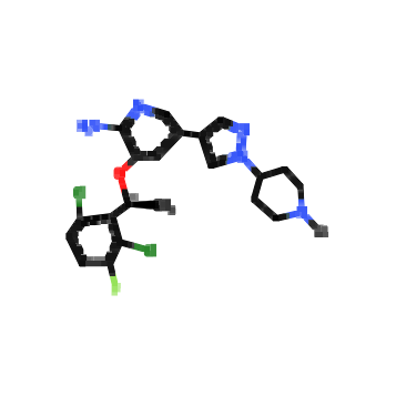 CCN1CCC(n2cc(-c3cnc(N)c(O[C@@H](C)c4c(Cl)ccc(F)c4Cl)c3)cn2)CC1